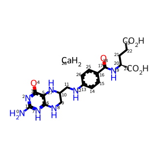 Nc1nc(=O)c2c([nH]1)NCC(CNc1ccc(C(=O)N[C@@H](CCC(=O)O)C(=O)O)cc1)N2.[CaH2]